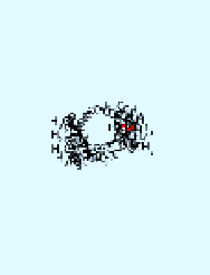 CC(C)(C)CC1(CNS(C)(=O)=O)COCCOCCOCC(CNS(C)(=O)=O)(CC(C)(C)C)CC2(CNS(C)(=O)=O)COCCOCCOCC(CNS(C)(=O)=O)(C1)CC(CNS(C)(=O)=O)(C(C)(C)C)COCCOCCOCC(CNS(C)(=O)=O)(C(C)(C)C)C2